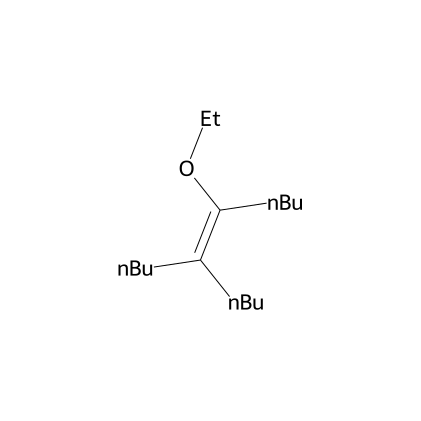 CCCCC(CCCC)=C(CCCC)OCC